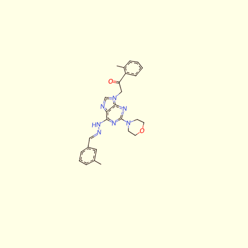 Cc1cccc(/C=N/Nc2nc(N3CCOCC3)nc3c2ncn3CC(=O)c2ccccc2C)c1